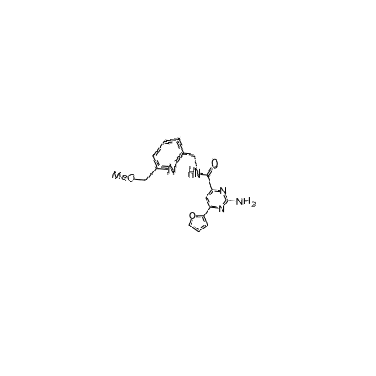 COCc1cccc(CNC(=O)c2cc(-c3ccco3)nc(N)n2)n1